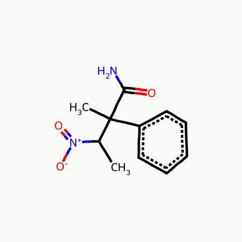 CC([N+](=O)[O-])C(C)(C(N)=O)c1ccccc1